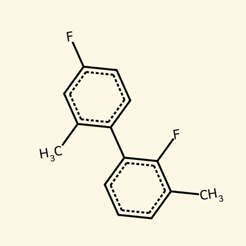 Cc1cc(F)ccc1-c1cccc(C)c1F